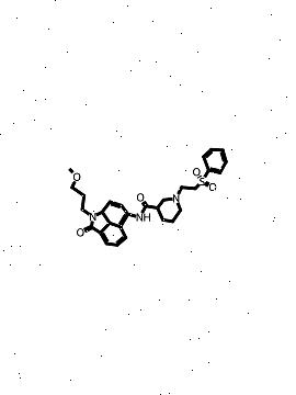 COCCCN1C(=O)C2=CC=CC3=C(NC(=O)C4CCCN(CCS(=O)(=O)c5ccccc5)C4)C=CC1C23